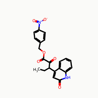 CCC(C(=O)C(=O)OCc1ccc([N+](=O)[O-])cc1)c1cc(=O)[nH]c2ccccc12